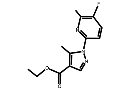 CCOC(=O)c1cnn(-c2ccc(F)c(C)n2)c1C